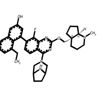 CCc1cccc2cc(O)cc(-c3ccc4c(N5CC6CCC(C5)N6)nc(OC[C@]56CCC[C@H]5N(C)CCC6)nc4c3F)c12